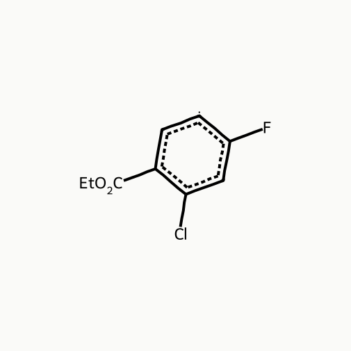 CCOC(=O)c1c[c]c(F)cc1Cl